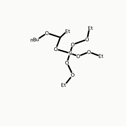 CCCCOC(CC)O[Si](OOCC)(OOCC)OOCC